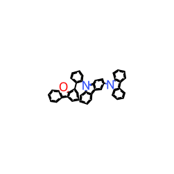 c1ccc(-n2c3ccccc3c3cc(-n4c5ccccc5c5ccccc54)ccc32)c(-c2cccc3c2oc2ccccc23)c1